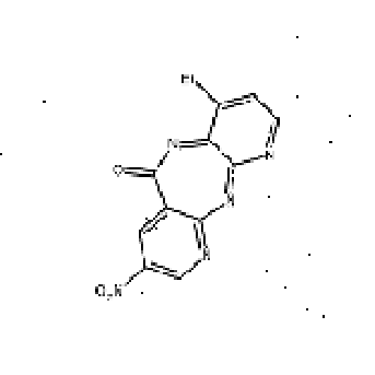 CCc1ccnc2nc3ncc([N+](=O)[O-])cc3c(=O)nc12